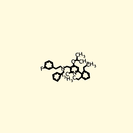 CCc1cccc(CC)c1-c1cc(OC(C)C)c(CN(CCc2cccc(F)c2)Cc2ccccc2)c(C)n1